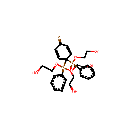 OCCOS(OCCO)(c1ccccc1)C1(S(OCCO)(OCCO)c2ccccc2)C=CC(=S)C=C1